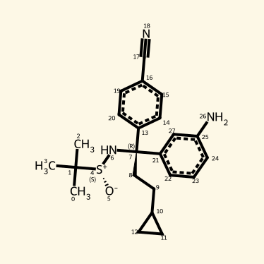 CC(C)(C)[S@@+]([O-])N[C@](CCC1CC1)(c1ccc(C#N)cc1)c1cccc(N)c1